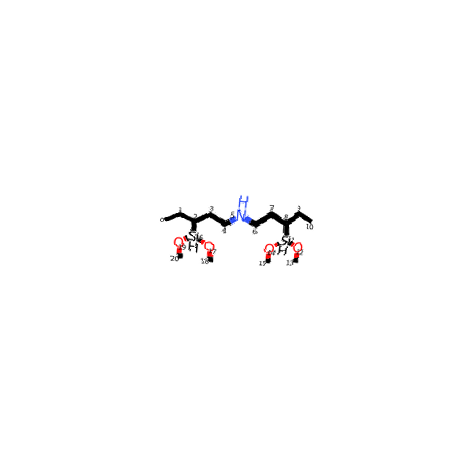 CCC(CCNCCC(CC)[SiH](OC)OC)[SiH](OC)OC